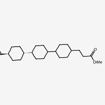 C=C[C@H]1CC[C@H](C2CCC(C3CCC(CCC(=O)OC)CC3)CC2)CC1